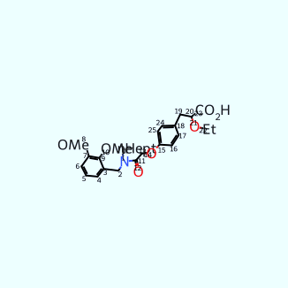 CCCCCCCN(Cc1cccc(OC)c1OC)C(=O)COc1ccc(CC(OCC)C(=O)O)cc1